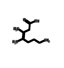 CCCCC(C)=C(C)CC(=O)O